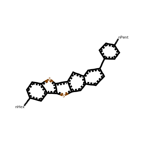 CCCCCCc1ccc2sc3c4cc5cc(-c6ccc(CCCCC)cc6)ccc5cc4sc3c2c1